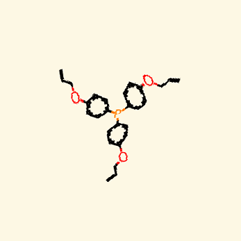 C=CCOc1ccc(P(c2ccc(OCC=C)cc2)c2ccc(OCC=C)cc2)cc1